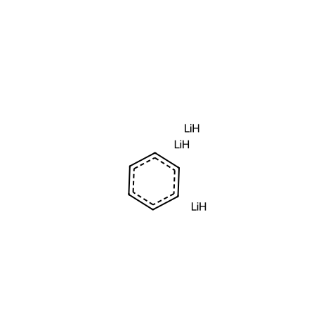 [LiH].[LiH].[LiH].c1ccccc1